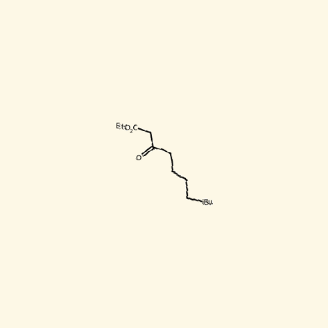 CCOC(=O)CC(=O)CCCCC(C)CC